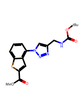 COC(=O)c1cc2c(-n3cc(CNC(=O)OC(C)(C)C)nn3)cccc2s1